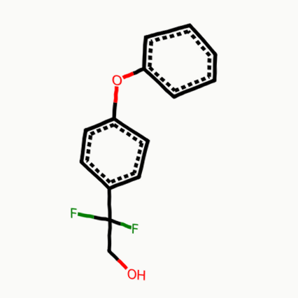 OCC(F)(F)c1ccc(Oc2ccccc2)cc1